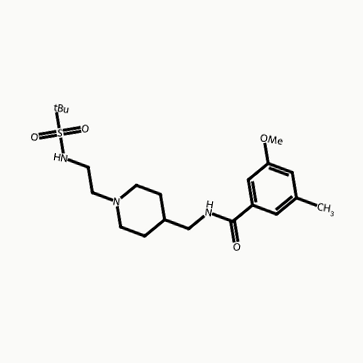 COc1cc(C)cc(C(=O)NCC2CCN(CCNS(=O)(=O)C(C)(C)C)CC2)c1